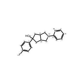 OC1(c2ccc(F)cc2)CC2CN(c3ccccn3)CC2C1